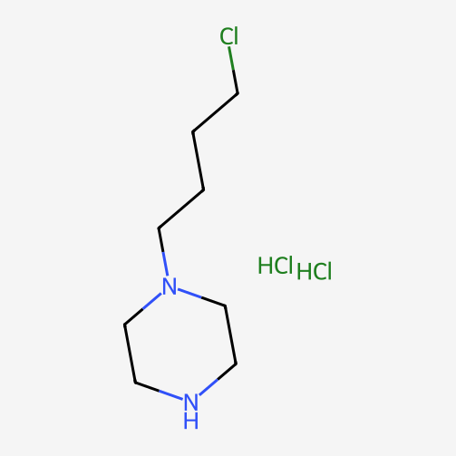 Cl.Cl.ClCCCCN1CCNCC1